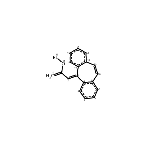 C=C(C=C1c2ccccc2C=Cc2ccccc21)OCC